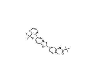 Cc1ccc(-c2cn3nc(-c4cccnc4C(F)(F)F)ccc3n2)cc1N(C)C(=O)C(C)(C)C